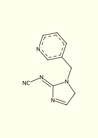 N#CN=C1N=CCN1Cc1cccnc1